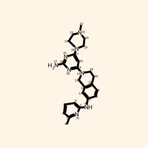 Cc1cccc(Nc2ccc3c(c2)CN(c2cc(N4CCN(C)CC4)nc(N)n2)CC3)n1